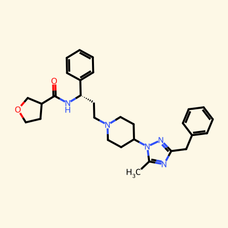 Cc1nc(Cc2ccccc2)nn1C1CCN(CC[C@H](NC(=O)C2CCOC2)c2ccccc2)CC1